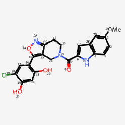 COc1ccc2[nH]c(C(=O)N3CCc4noc(-c5cc(Cl)c(O)cc5O)c4C3)cc2c1